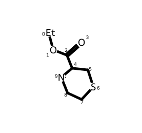 CCOC(=O)C1CSCC[N]1